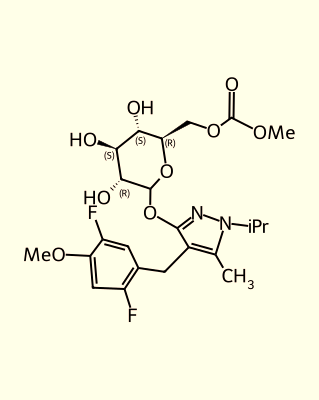 COC(=O)OC[C@H]1OC(Oc2nn(C(C)C)c(C)c2Cc2cc(F)c(OC)cc2F)[C@H](O)[C@@H](O)[C@@H]1O